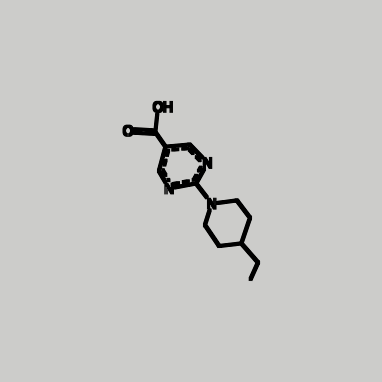 CCC1CCN(c2ncc(C(=O)O)cn2)CC1